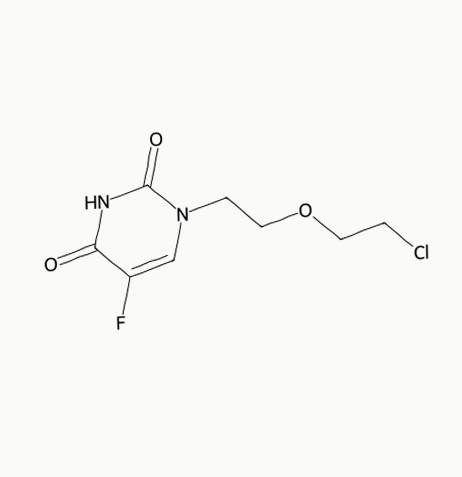 O=c1[nH]c(=O)n(CCOCCCl)cc1F